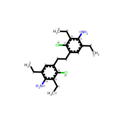 CCc1cc(CCc2cc(CC)c(N)c(CC)c2Cl)c(Cl)c(CC)c1N